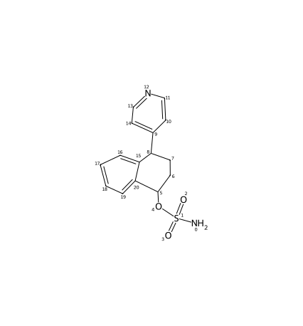 NS(=O)(=O)OC1CCC(c2ccncc2)c2ccccc21